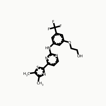 Cc1nc(-c2ccnc(Nc3cc(OCCO)cc(C(F)(F)F)c3)n2)sc1C